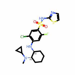 CN(C1CC1)[C@H]1CCCC[C@@H]1Nc1cc(F)c(S(=O)(=O)Nc2nccs2)cc1Cl